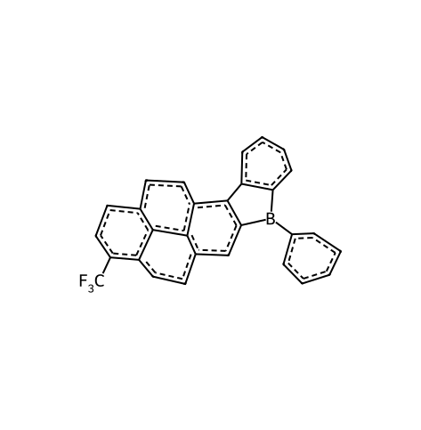 FC(F)(F)c1ccc2ccc3c4c(cc5ccc1c2c53)B(c1ccccc1)c1ccccc1-4